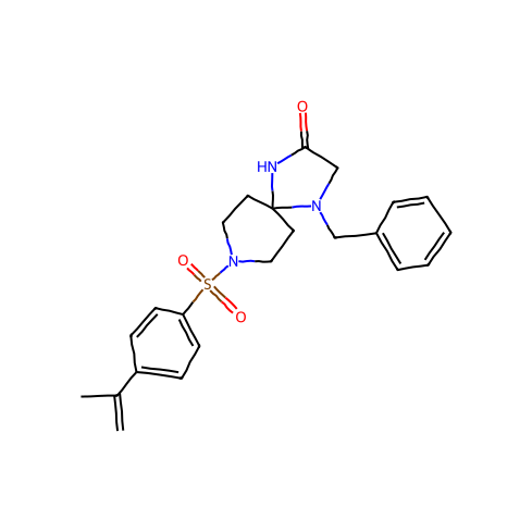 C=C(C)c1ccc(S(=O)(=O)N2CCC3(CC2)NC(=O)CN3Cc2ccccc2)cc1